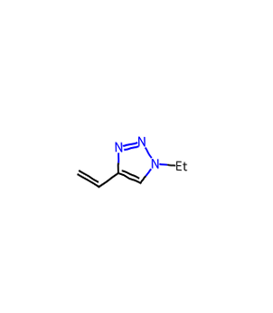 C=Cc1cn(CC)nn1